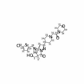 CC(C)(CO)C(=O)n1nc(C2CCN(CC(=O)N3CCOCC3)CC2)cc1NCc1ccc(Cl)s1